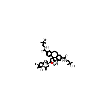 C=C(CN[C@@H](C)CC1(c2nnn[nH]2)c2ccc(C(=O)NCC(C)(C)O)cc2CCc2cc(C(=O)NCC(C)(C)O)ccc21)N1C(C#N)C[C@@H]2C[C@@H]21